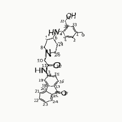 Cc1ccc(NC2CCN(CC(=O)Nc3ccc4c(c3)-c3ccccc3C4=O)CC2)c(CO)c1